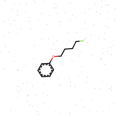 FCCCCOc1c[c]ccc1